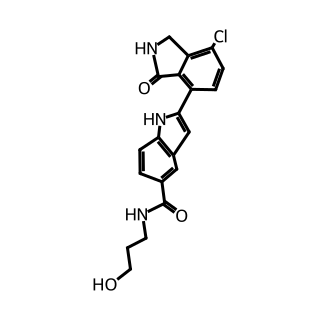 O=C(NCCCO)c1ccc2[nH]c(-c3ccc(Cl)c4c3C(=O)NC4)cc2c1